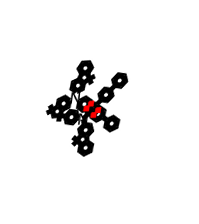 CC1(C)CC(C)(c2ccc(N(c3ccc(-c4ccc(-c5ccccc5)cc4)cc3)c3ccc4c(c3)C(C)(C)c3ccccc3-4)cc2)c2cc(N(c3ccc(-c4ccc(-c5ccccc5)cc4)cc3)c3ccc4c(c3)C(C)(C)c3ccccc3-4)ccc21